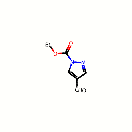 CCOC(=O)n1cc(C=O)cn1